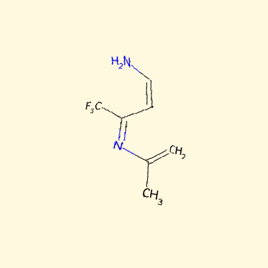 C=C(C)/N=C(\C=C/N)C(F)(F)F